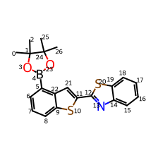 CC1(C)OB(c2cccc3sc(-c4nc5ccccc5s4)cc23)OC1(C)C